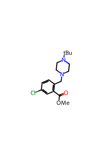 COC(=O)c1cc(Cl)ccc1CN1CCN(C(C)(C)C)CC1